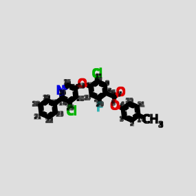 Cc1ccc(OC(=O)c2cc(Cl)c(Oc3cnc(-c4ccccc4)c(Cl)c3)cc2F)cc1